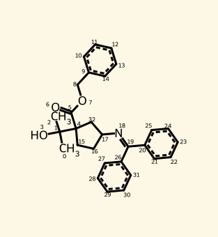 CC(C)(O)C1(C(=O)OCc2ccccc2)CCC(N=C(c2ccccc2)c2ccccc2)C1